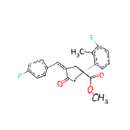 COC(=O)[C@@]1(c2cccc(F)c2C)CC(=O)/C(=C\c2ccc(F)cc2)C1